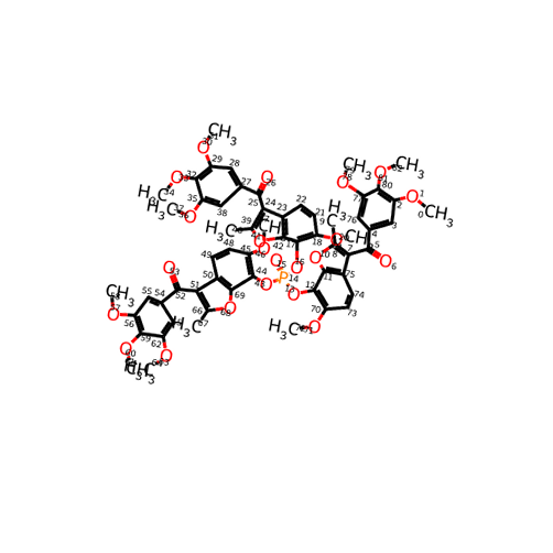 COc1cc(C(=O)c2c(C)oc3c(OP(=O)(Oc4c(OC)ccc5c(C(=O)c6cc(OC)c(OC)c(OC)c6)c(C)oc45)Oc4c(OC)ccc5c(C(=O)c6cc(OC)c(OC)c(OC)c6)c(C)oc45)c(OC)ccc23)cc(OC)c1OC